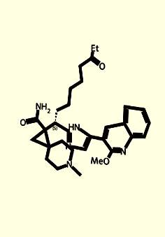 CCC(=O)CCCCC[C@H](c1ncc(-c2cc3ccccc3nc2OC)[nH]1)C1(C(N)=O)CC12CCN(C)CC2